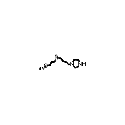 CC(C)OCCCN(C)CCCCN1CCNCC1